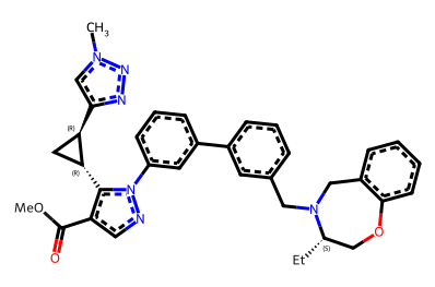 CC[C@H]1COc2ccccc2CN1Cc1cccc(-c2cccc(-n3ncc(C(=O)OC)c3[C@@H]3C[C@H]3c3cn(C)nn3)c2)c1